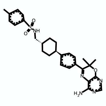 Cc1ccc(S(=O)(=O)NC[C@H]2CC[C@H](c3ccc(C4=Nc5c(N)ncnc5OC4(C)C)cc3)CC2)cc1